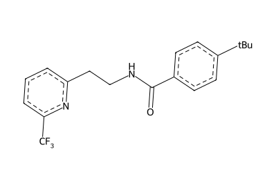 CC(C)(C)c1ccc(C(=O)NCCc2cccc(C(F)(F)F)n2)cc1